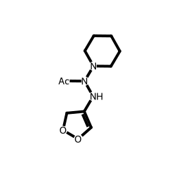 CC(=O)N(NC1=COOC1)N1CCCCC1